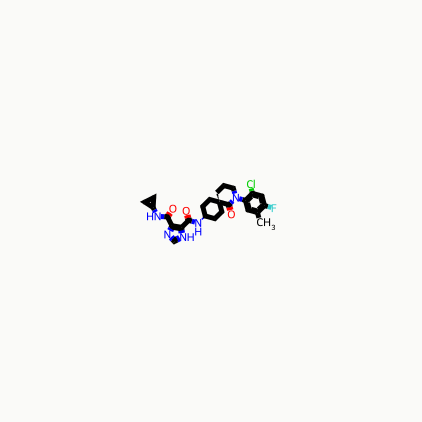 Cc1cc(N2CCC[C@]3(CC[C@@H](NC(=O)c4[nH]cnc4C(=O)NC4CC4)CC3)C2=O)c(Cl)cc1F